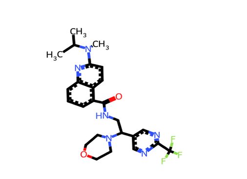 CC(C)N(C)c1ccc2c(C(=O)NCC(c3cnc(C(F)(F)F)nc3)N3CCOCC3)cccc2n1